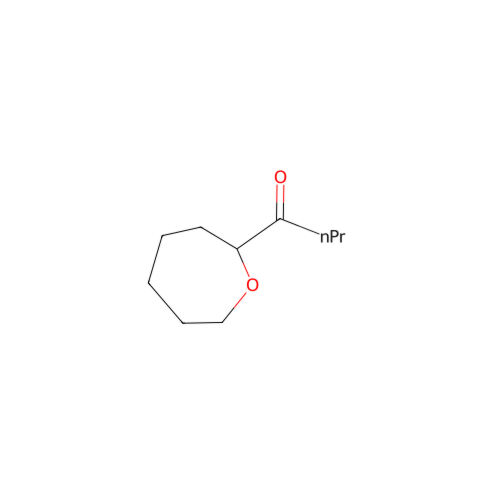 CCCC(=O)C1CCCCCO1